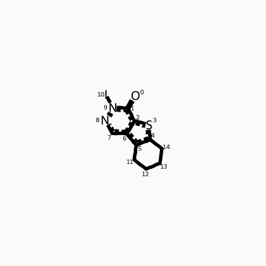 O=c1c2sc3c(c2cnn1I)CCCC3